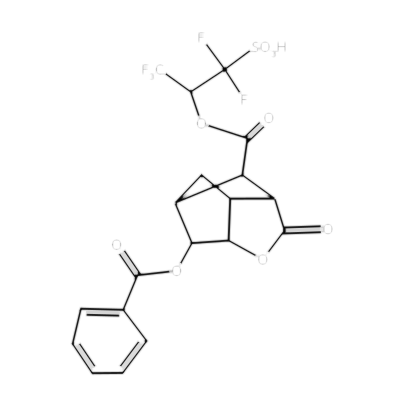 O=C(OC1C2CC3C1OC(=O)C3C2C(=O)OC(C(F)(F)F)C(F)(F)S(=O)(=O)O)c1ccccc1